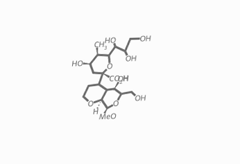 CO[C@@H]1OC(CO)[C@H](O)C2C([C@]3(C(=O)O)C[C@@H](O)[C@@H](C)C(C(O)C(O)CO)O3)CCO[C@@H]21